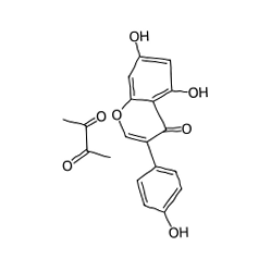 CC(=O)C(C)=O.O=c1c(-c2ccc(O)cc2)coc2cc(O)cc(O)c12